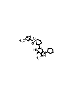 Cc1nn(C2CCCCC2)c2nc(C3CCCN(S(=O)(=O)c4cn(C)cn4)C3)[nH]c(=O)c12